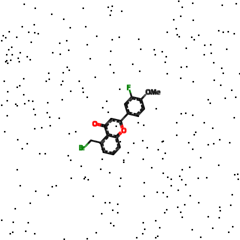 COc1ccc(-c2cc(=O)c3c(CBr)cccc3o2)cc1F